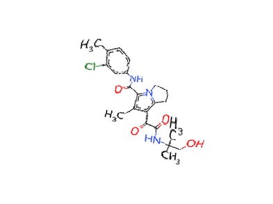 Cc1ccc(NC(=O)c2c(C)c(C(=O)C(=O)NC(C)(C)CO)c3n2CCC3)cc1Cl